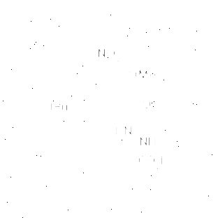 COc1c(C(=O)NNC(=O)O)cc(C(C)(C)C)cc1[N+](=O)[O-]